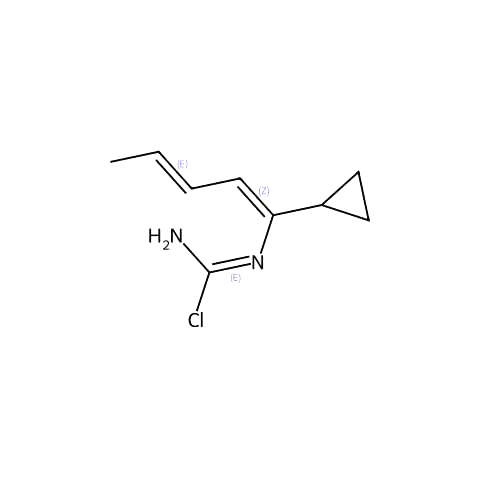 C/C=C/C=C(\N=C(/N)Cl)C1CC1